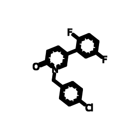 O=c1ccc(-c2cc(F)ccc2F)cn1Cc1ccc(Cl)cc1